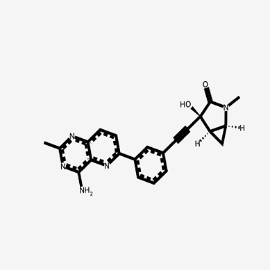 Cc1nc(N)c2nc(-c3cccc(C#C[C@]4(O)C(=O)N(C)[C@H]5C[C@H]54)c3)ccc2n1